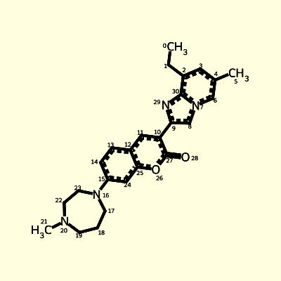 CCc1cc(C)cn2cc(-c3cc4ccc(N5CCCN(C)CC5)cc4oc3=O)nc12